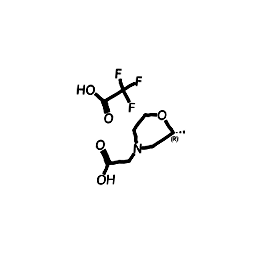 C[C@@H]1CN(CC(=O)O)CCO1.O=C(O)C(F)(F)F